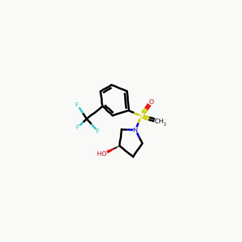 C=S(=O)(c1cccc(C(F)(F)F)c1)N1CC[C@@H](O)C1